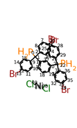 PC(c1ccc(Br)cc1)(c1ccc(Br)cc1)c1cccc(C(P)(c2ccc(Br)cc2)c2ccc(Br)cc2)c1.[Cl][Ni][Cl]